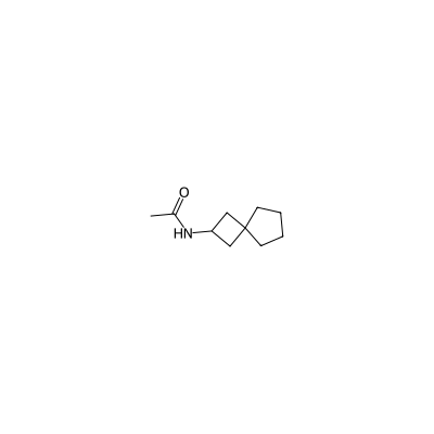 CC(=O)NC1CC2(CCCC2)C1